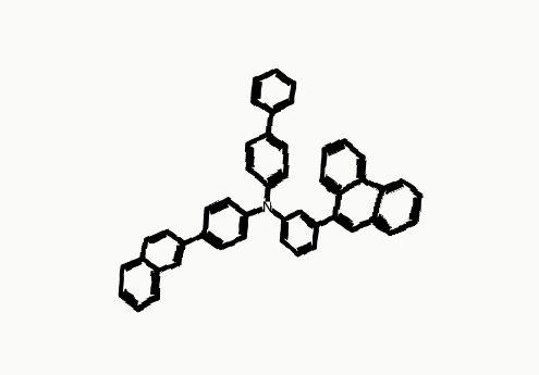 c1ccc(-c2ccc(N(c3ccc(-c4ccc5ccccc5c4)cc3)c3cccc(-c4cc5ccccc5c5ccccc45)c3)cc2)cc1